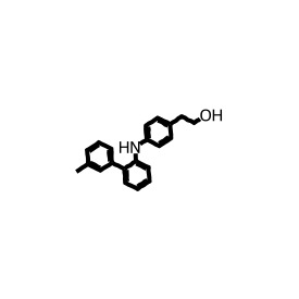 Cc1cccc(-c2ccccc2Nc2ccc(CCO)cc2)c1